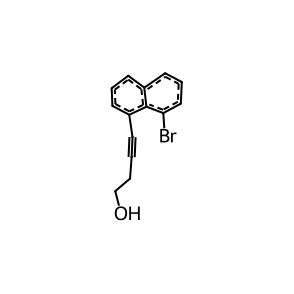 OCCC#Cc1cccc2cccc(Br)c12